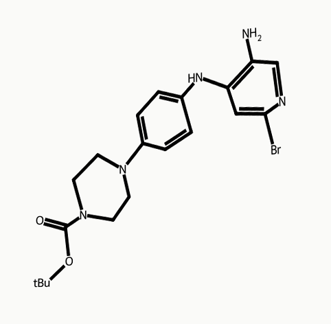 CC(C)(C)OC(=O)N1CCN(c2ccc(Nc3cc(Br)ncc3N)cc2)CC1